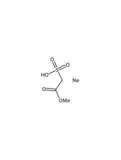 COC(=O)CS(=O)(=O)O.[Na]